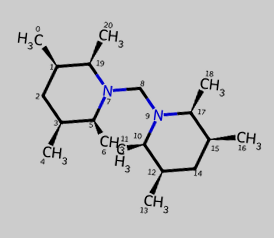 C[C@@H]1C[C@H](C)[C@H](C)N(CN2[C@H](C)[C@H](C)C[C@H](C)[C@@H]2C)[C@@H]1C